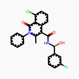 Cc1c(C(=O)N[C@@H](O)c2cccc(F)c2)c2cccc(Cl)c2c(=O)n1-c1ccccc1